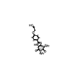 C#CCOc1ccc(-c2nc3c([nH]2)c(=O)n(CCC)c(=O)n3CCC)cc1